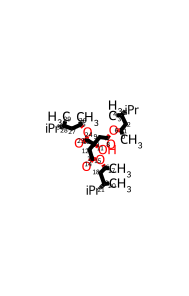 CC(CC(C)C(C)C)OC(=O)CC(O)(CC(=O)OC(C)CC(C)C(C)C)C(=O)OC(C)CC(C)C(C)C